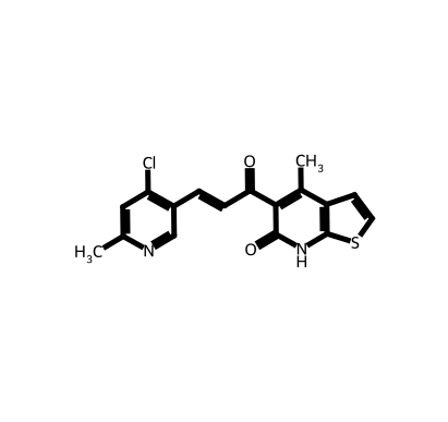 Cc1cc(Cl)c(C=CC(=O)c2c(C)c3ccsc3[nH]c2=O)cn1